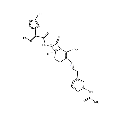 NC(=O)Nc1ccc[n+](C/C=C/C2=C(C(=O)[O-])N3C(=O)[C@@H](NC(=O)C(=NO)c4csc(N)n4)[C@@H]3SC2)c1